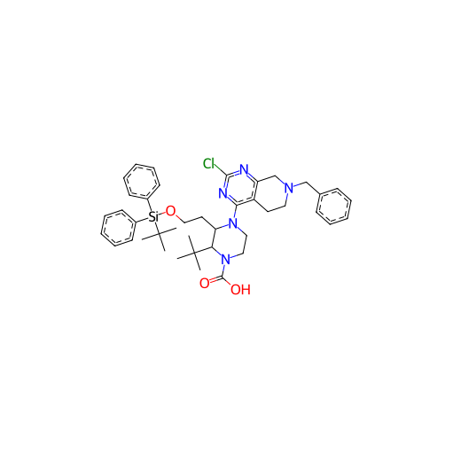 CC(C)(C)C1C(CCO[Si](c2ccccc2)(c2ccccc2)C(C)(C)C)N(c2nc(Cl)nc3c2CCN(Cc2ccccc2)C3)CCN1C(=O)O